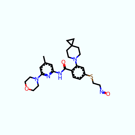 Cc1cc(NC(=O)c2ccc(SCCN=O)cc2N2CCC3(CC2)CC3)nc(N2CCOCC2)c1